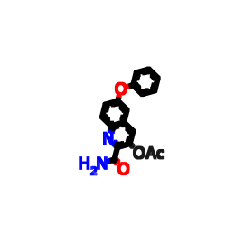 CC(=O)Oc1cc2cc(Oc3ccccc3)ccc2nc1C(N)=O